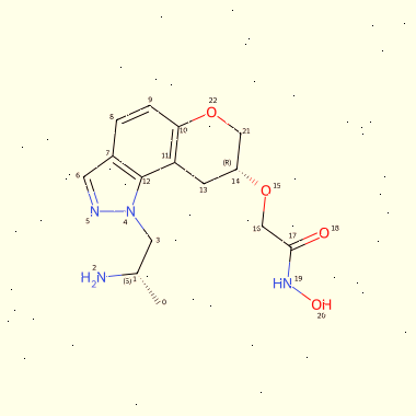 C[C@H](N)Cn1ncc2ccc3c(c21)C[C@@H](OCC(=O)NO)CO3